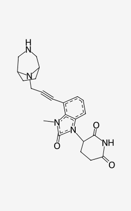 Cn1c(=O)n(C2CCC(=O)NC2=O)c2cccc(C#CCN3C4CCC3CNC4)c21